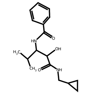 CC(C)C(NC(=O)c1ccccc1)C(O)C(=O)NCC1CC1